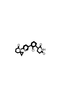 O=C1CCC(c2cccc(-c3ccc(N4C(=O)CCCC45CC5)nc3)c2Cl)C(=O)N1